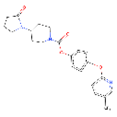 O=C(Oc1ccc(Oc2ccc(C(F)(F)F)cn2)cc1)N1CCC(N2CCCC2=O)CC1